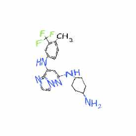 Cc1ccc(Nc2cc(N[C@H]3CC[C@H](N)CC3)nn3ccnc23)cc1C(F)(F)F